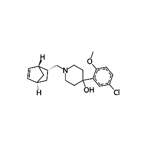 COc1ccc(Cl)cc1C1(O)CCN(C[C@@H]2C[C@H]3C=C[C@H]2C3)CC1